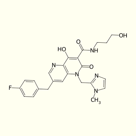 Cn1ccnc1Cn1c(=O)c(C(=O)NCCCO)c(O)c2ncc(Cc3ccc(F)cc3)cc21